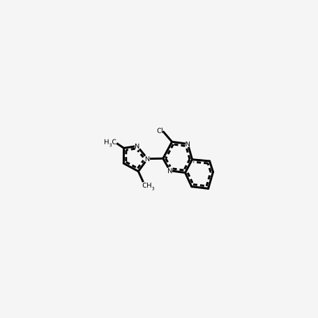 Cc1cc(C)n(-c2nc3ccccc3nc2Cl)n1